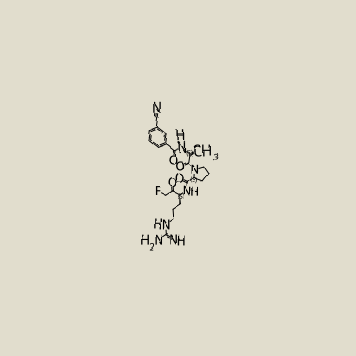 C[C@H](NC(=O)c1cccc(C#N)c1)C(=O)N1CCC[C@H]1C(=O)N[C@@H](CCCNC(=N)N)C(=O)CF